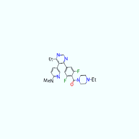 CCc1ncnc(-c2cc(F)c(C(=O)N3CCN(CC)CC3)c(F)c2)c1-c1ccc(NC)nc1